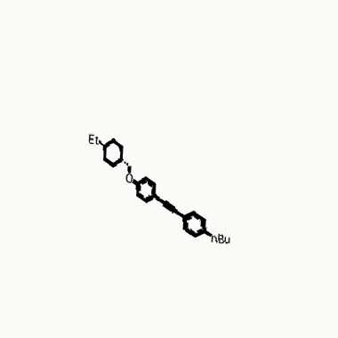 CCCCc1ccc(C#Cc2ccc(OC[C@H]3CC[C@H](CC)CC3)cc2)cc1